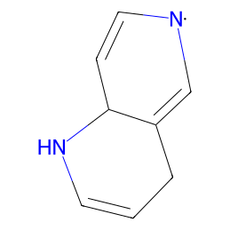 C1=CNC2C=C[N]C=C2C1